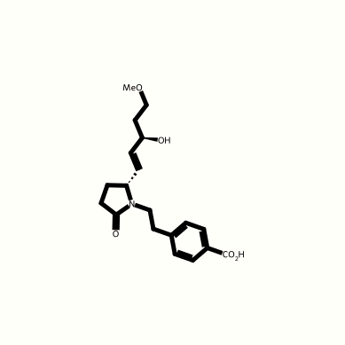 COCC[C@@H](O)C=C[C@H]1CCC(=O)N1CCc1ccc(C(=O)O)cc1